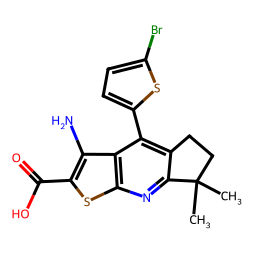 CC1(C)CCc2c1nc1sc(C(=O)O)c(N)c1c2-c1ccc(Br)s1